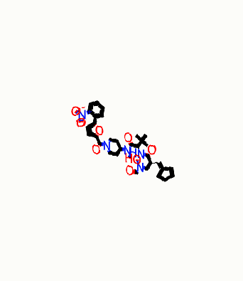 CN(C(=O)[C@@H](NC(=O)[C@H](CC1CCCC1)CN(O)C=O)C(C)(C)C)C1CCN(C(=O)c2ccc(-c3ccccc3[N+](=O)[O-])o2)CC1